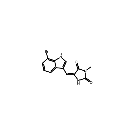 CN1C(=O)N/C(=C/c2c[nH]c3c(Br)cccc23)C1=O